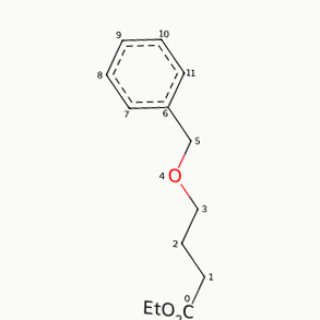 C[CH]OC(=O)CCCOCc1ccccc1